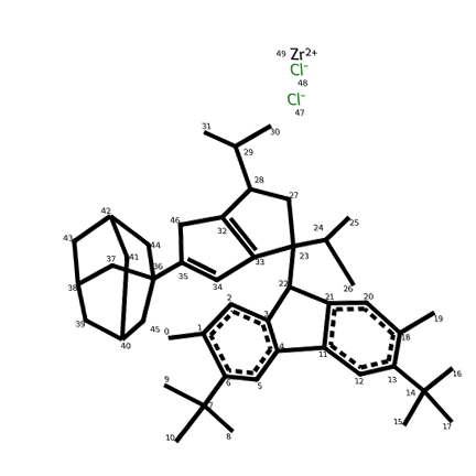 Cc1cc2c(cc1C(C)(C)C)-c1cc(C(C)(C)C)c(C)cc1C2C1(C(C)C)CC(C(C)C)C2=C1C=C(C13CC4CC(CC(C4)C1)C3)C2.[Cl-].[Cl-].[Zr+2]